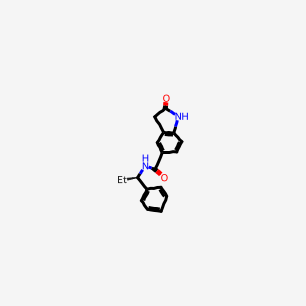 CC[C@@H](NC(=O)c1ccc2c(c1)CC(=O)N2)c1ccccc1